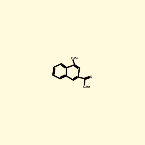 COC(=O)c1cc(OC)c2ccccc2c1